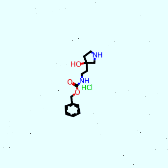 Cl.O=C(NCCC1(O)CCNC1)OCc1ccccc1